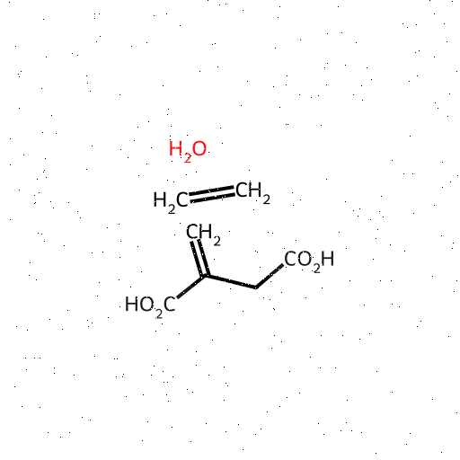 C=C.C=C(CC(=O)O)C(=O)O.O